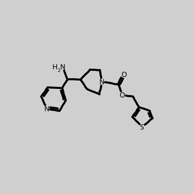 NC(c1ccncc1)C1CCN(C(=O)OCc2ccsc2)CC1